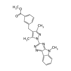 COC(=O)c1cccc(Cc2c(C)nn(-c3nnc4c5ccccc5n(C)c4n3)c2C)c1